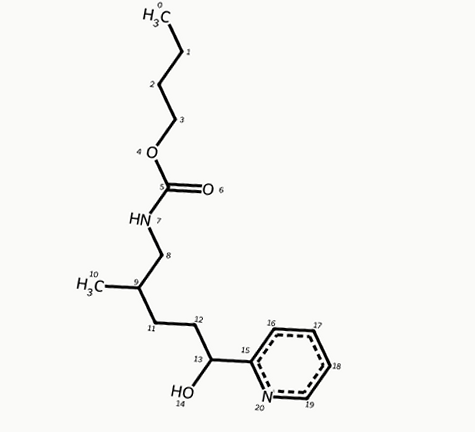 CCCCOC(=O)NCC(C)CCC(O)c1ccccn1